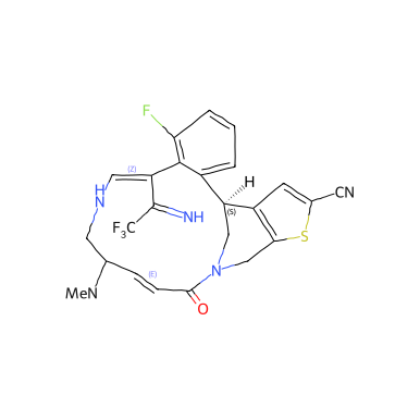 CNC1/C=C/C(=O)N2Cc3sc(C#N)cc3[C@@H](C2)c2cccc(F)c2/C(C(=N)C(F)(F)F)=C/NC1